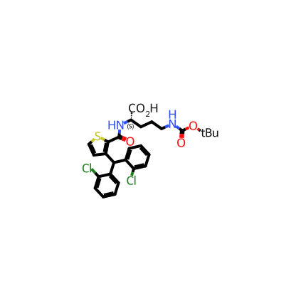 CC(C)(C)OC(=O)NCCC[C@H](NC(=O)c1sccc1C(c1ccccc1Cl)c1ccccc1Cl)C(=O)O